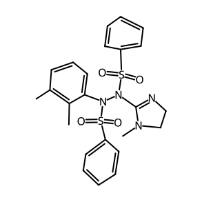 Cc1cccc(N(N(C2=NCCN2C)S(=O)(=O)c2ccccc2)S(=O)(=O)c2ccccc2)c1C